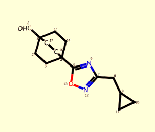 O=CC12CCC(c3nc(CC4CC4)no3)(CC1)CC2